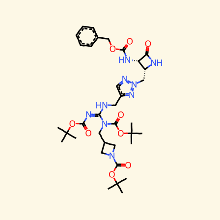 CC(C)(C)OC(=O)/N=C(/NCc1cnn(C[C@H]2NC(=O)[C@H]2NC(=O)OCc2ccccc2)n1)N(CC1CN(C(=O)OC(C)(C)C)C1)C(=O)OC(C)(C)C